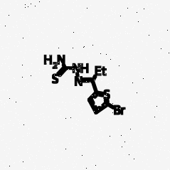 CCC(=NNC(N)=S)c1ccc(Br)s1